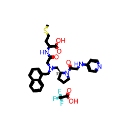 CSCCC(NC(=O)CN(Cc1cccc2ccccc12)C[C@@H]1CCCN1C(=O)CNc1ccncc1)C(=O)O.O=C(O)C(F)(F)F